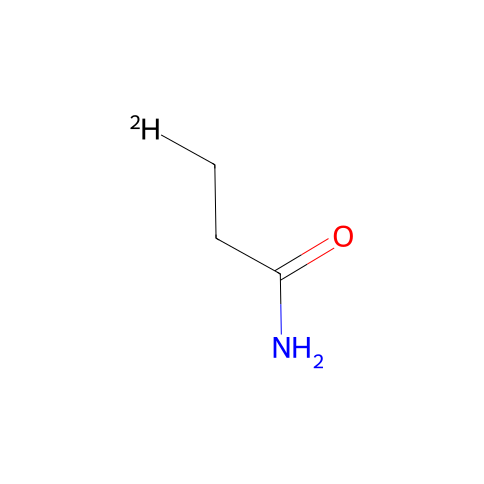 [2H]CCC(N)=O